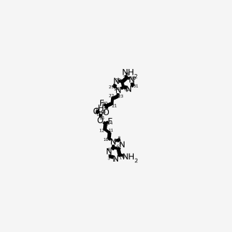 Nc1ncnc2c1ncn2C=CC=C(F)O[PH](=O)OC(F)=CC=Cn1cnc2c(N)ncnc21